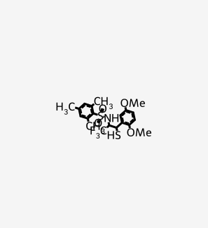 COc1ccc(OC)c(C(S)C(NS(=O)(=O)c2c(C)cc(C)cc2C)C(F)(F)F)c1